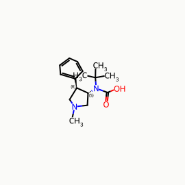 CN1C[C@@H](N(C(=O)O)C(C)(C)C)[C@H](c2ccccc2)C1